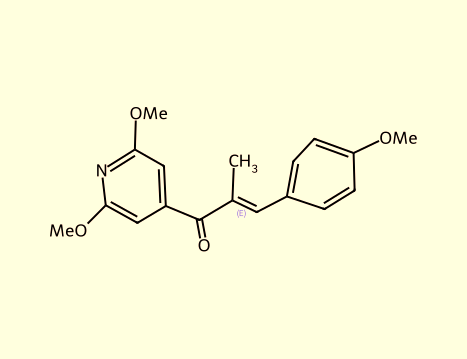 COc1ccc(/C=C(\C)C(=O)c2cc(OC)nc(OC)c2)cc1